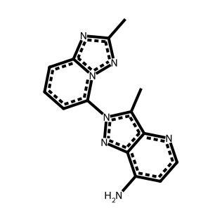 Cc1nc2cccc(-n3nc4c(N)ccnc4c3C)n2n1